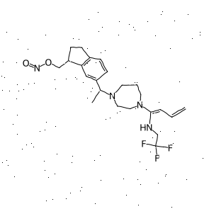 C=C/C=C(\NCC(F)(F)F)N1CCCN(C(C)c2ccc3c(c2)C(CON=O)CC3)CC1